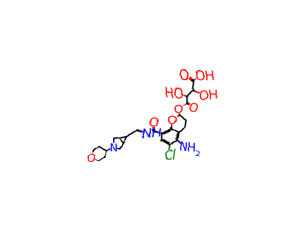 Nc1c(Cl)cc(C(=O)NCC2C3CN(C4CCOCC4)CC23)c2c1CCC(OC(=O)C(O)C(O)C(=O)O)O2